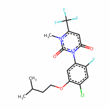 CC(C)CCOc1cc(-n2c(=O)cc(C(F)(F)F)n(C)c2=O)c(F)cc1Cl